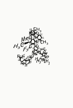 CC#Cc1cc(N(c2cc(C)ccc2OC)c2cc(C)ccc2OC)c(F)c([C@@H]2Cc3nc(OC[C@]45CCCN4C[C@@H](C=C(F)F)C5)nc(N4CCCn5nc(C(=O)N(C)C)c(C)c5C4)c3CO2)c1C(F)(F)F